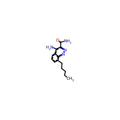 CCCCCc1cccc2c(N)c(C(N)=O)nnc12